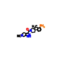 Cc1c(P)cccc1C1CCN(C(=O)c2n[nH]c3c2CCN(C#N)C3)CC1